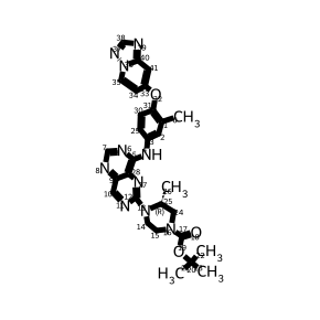 Cc1cc(Nc2ncnc3cnc(N4CCN(C(=O)OC(C)(C)C)C[C@H]4C)nc23)ccc1Oc1ccn2ncnc2c1